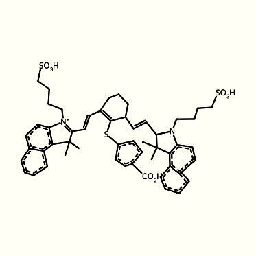 CC1(C)C(/C=C/C2=C(Sc3ccc(C(=O)O)cc3)C(/C=C/C3N(CCCCS(=O)(=O)O)c4ccc5ccccc5c4C3(C)C)CCC2)=[N+](CCCCS(=O)(=O)O)c2ccc3ccccc3c21